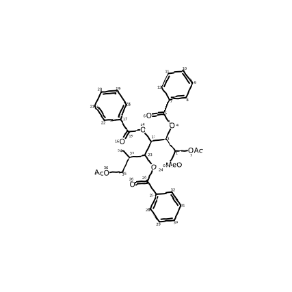 COC(OC(C)=O)C(OC(=O)c1ccccc1)C(OC(=O)c1ccccc1)C(OC(=O)c1ccccc1)C(C)COC(C)=O